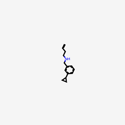 C=CCCNCc1cccc(C2CC2)c1